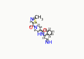 Cc1ncc(C(=O)N2CCC(C(=O)NC(CC=N)c3ccccc3)CC2)s1